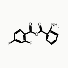 Nc1ccccc1C(=O)OC(=O)c1ccc(F)cc1F